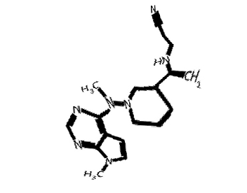 C=C(NCC#N)C1CCCN(N(C)c2ncnc3c2ccn3C)C1